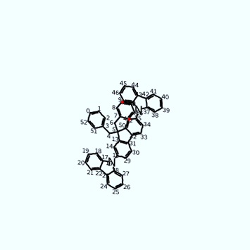 c1ccc(CC2(Cc3ccccc3)c3cc(-n4c5ccccc5c5ccccc54)ccc3-c3ccc(-n4c5ccccc5c5ccccc54)cc32)cc1